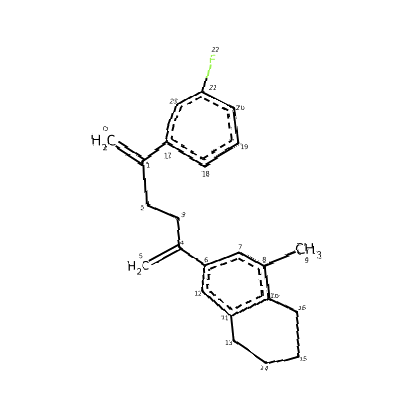 C=C(CCC(=C)c1cc(C)c2c(c1)CCCC2)c1cccc(F)c1